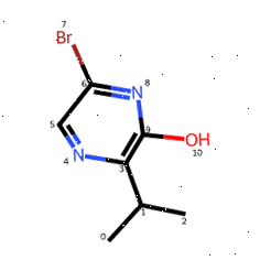 CC(C)c1ncc(Br)nc1O